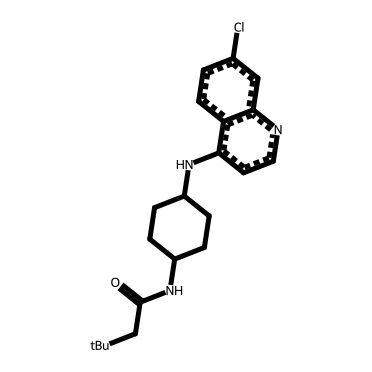 CC(C)(C)CC(=O)NC1CCC(Nc2ccnc3cc(Cl)ccc23)CC1